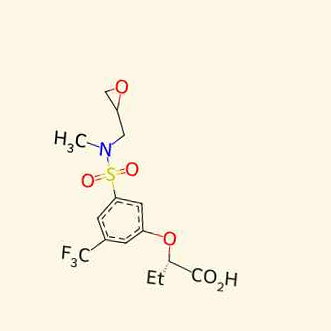 CC[C@H](Oc1cc(C(F)(F)F)cc(S(=O)(=O)N(C)CC2CO2)c1)C(=O)O